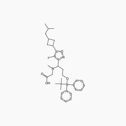 CC(C)CC1CC(c2onc(C(CCO[Si](c3ccccc3)(c3ccccc3)C(C)(C)C)N(C)CC(=O)O)c2I)C1